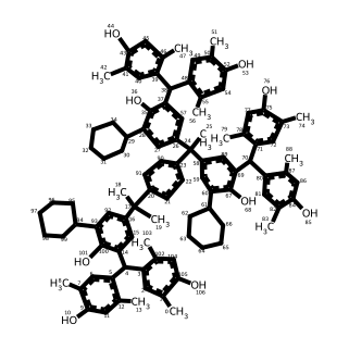 Cc1cc(C(c2cc(C)c(O)cc2C)c2cc(C(C)(C)c3ccc(C(C)(c4cc(C5CCCCC5)c(O)c(C(c5cc(C)c(O)cc5C)c5cc(C)c(O)cc5C)c4)c4cc(C5CCCCC5)c(O)c(C(c5cc(C)c(O)cc5C)c5cc(C)c(O)cc5C)c4)cc3)cc(C3CCCCC3)c2O)c(C)cc1O